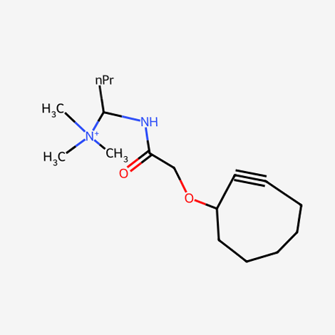 C[CH]CC(NC(=O)COC1C#CCCCCC1)[N+](C)(C)C